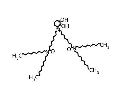 CCCCCCCCCCN(CCCCCCCCCC)C(=O)CCCCCCCN(CCCCCCCC(=O)N(CCCCCCCCCC)CCCCCCCCCC)[C@@H]1CCC[C@@H](O)[C@H]1O